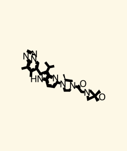 Cc1c(-c2[nH]c3ccc(N4CCN(C(=O)CN5CC6(COC6)C5)C[C@@H]4C)nc3c2C(C)C)cn2ncnc2c1C